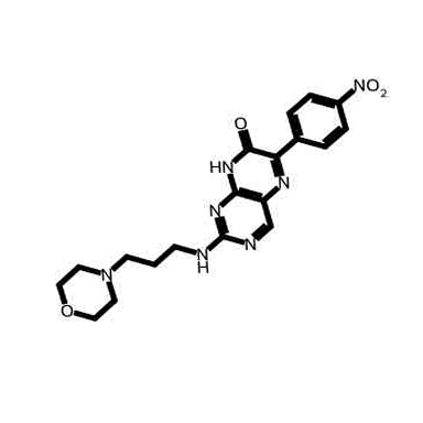 O=c1[nH]c2nc(NCCCN3CCOCC3)ncc2nc1-c1ccc([N+](=O)[O-])cc1